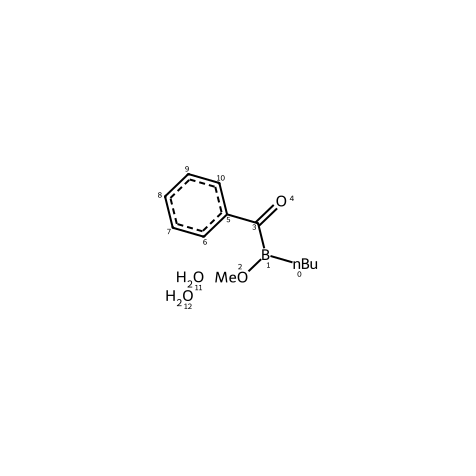 CCCCB(OC)C(=O)c1ccccc1.O.O